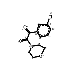 C=C(C(=O)N1CCOCC1)c1cc[c]c(Cl)c1